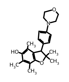 Cc1c(C)c2c(c(C)c1O)C(c1ccc(N3CCOCC3)cc1)C(C)(C)O2